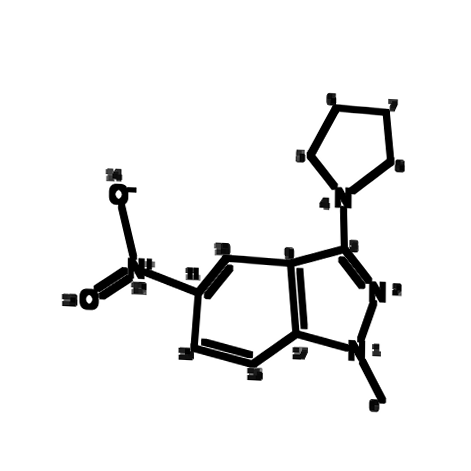 Cn1nc(N2CCCC2)c2cc([N+](=O)[O-])ccc21